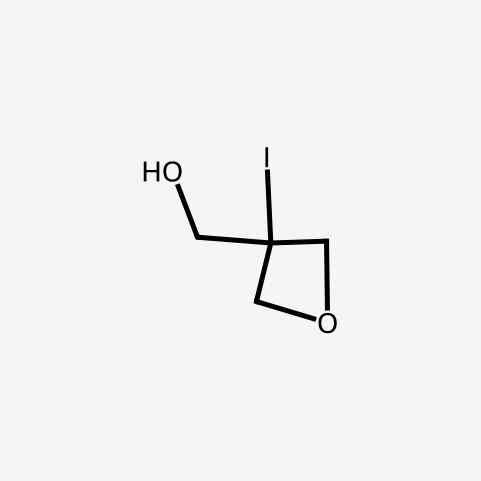 OCC1(I)COC1